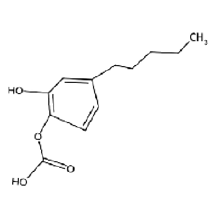 CCCCCc1ccc(OC(=O)O)c(O)c1